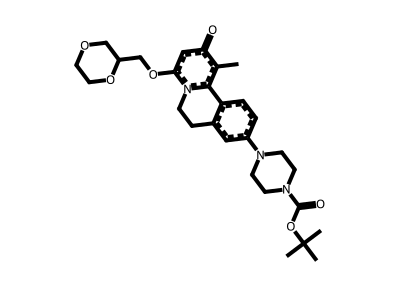 Cc1c2n(c(OCC3COCCO3)cc1=O)CCc1cc(N3CCN(C(=O)OC(C)(C)C)CC3)ccc1-2